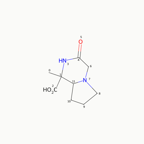 CC1(C(=O)O)NC(=O)CN2CCCC21